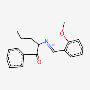 CCCC(/N=C/c1ccccc1OC)C(=O)c1ccccc1